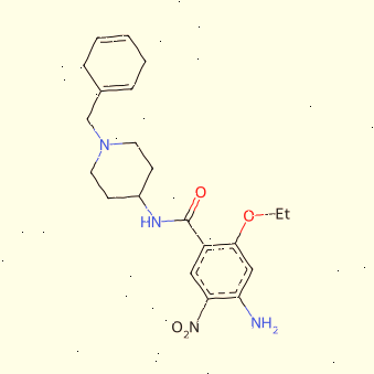 CCOc1cc(N)c([N+](=O)[O-])cc1C(=O)NC1CCN(CC2=CCC=CC2)CC1